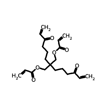 C=CC(=O)CCCC(CCCC(=O)C=C)(COC(=O)C=C)COC(=O)C=C